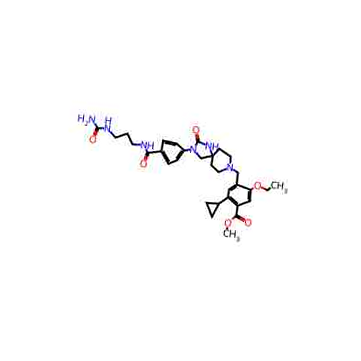 CCOc1cc(C(=O)OC)c(C2CC2)cc1CN1CCC2(CC1)CN(c1ccc(C(=O)NCCCNC(N)=O)cc1)C(=O)N2